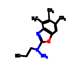 Cc1cc2oc(N(N)CCC#N)nc2c(C)c1C